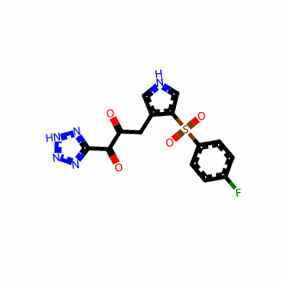 O=C(Cc1c[nH]cc1S(=O)(=O)c1ccc(F)cc1)C(=O)c1nn[nH]n1